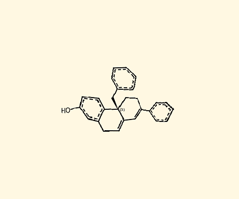 Oc1ccc2c(c1)CC=C1C=C(c3ccccc3)CC[C@]12Cc1ccccc1